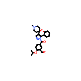 CC(C)Oc1ccc(C(=O)n2ncc3c2-c2ccccc2OC32CCN(C)CC2)cc1C=O